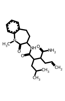 C=CCC(C(N)=O)C(CC(C)C)C(=O)NC1CCc2ccccc2N(C)C1=O